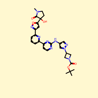 CN1CCC(O)(c2cc(-c3cccc(-c4ccnc(Nc5cnn(C6CN(C(=O)OC(C)(C)C)C6)c5)n4)n3)no2)C1=O